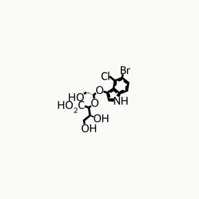 O=C(O)C(O[C@H](CO)Oc1c[nH]c2ccc(Br)c(Cl)c12)[C@@H](O)CO